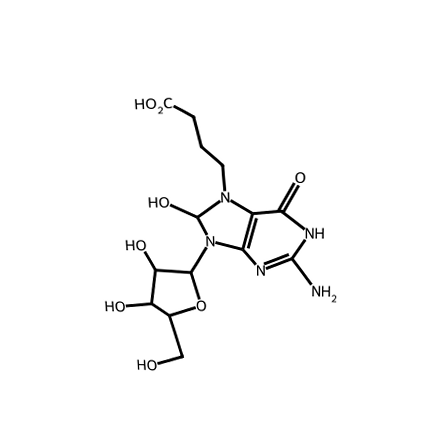 Nc1nc2c(c(=O)[nH]1)N(CCCC(=O)O)C(O)N2C1OC(CO)C(O)C1O